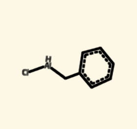 [Cl][AlH][CH2]c1ccccc1